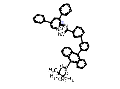 CC1(C)OB(c2c3ccccc3c(-c3cccc(-c4cccc(C(=N)/N=c5\[nH]cc(-c6ccccc6)cc5-c5ccccc5)c4)c3)c3ccccc23)OC1(C)C